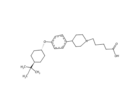 CC(C)(C)[C@H]1CC[C@H](Oc2ccc(C3CCN(CCCCC(=O)O)CC3)cc2)CC1